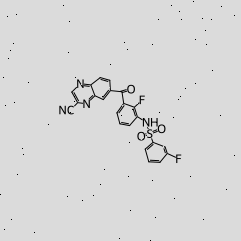 N#Cc1cnc2ccc(C(=O)c3cccc(NS(=O)(=O)c4cccc(F)c4)c3F)cc2n1